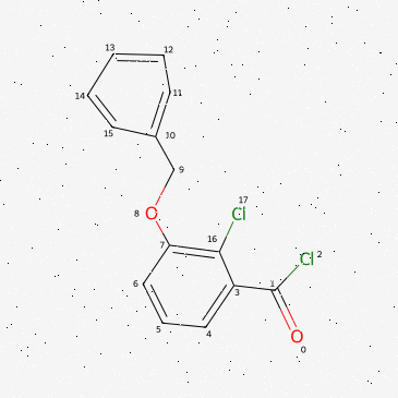 O=C(Cl)c1cccc(OCc2ccccc2)c1Cl